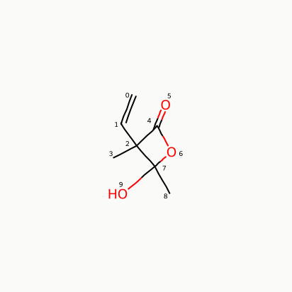 C=CC1(C)C(=O)OC1(C)O